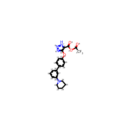 O=C(OC(=O)C(F)(F)F)c1[nH]nnc1Oc1ccc(-c2cccc(N3CCCCC3)c2)cc1